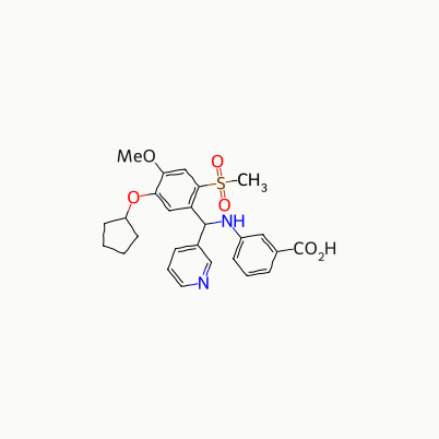 COc1cc(S(C)(=O)=O)c(C(Nc2cccc(C(=O)O)c2)c2cccnc2)cc1OC1CCCC1